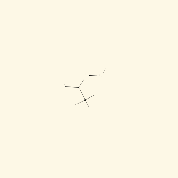 CCSSC(C)C(F)(F)F